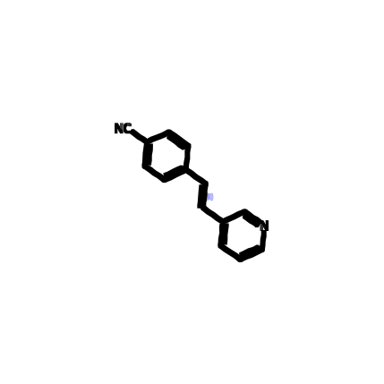 N#Cc1ccc(/C=C/c2cccnc2)cc1